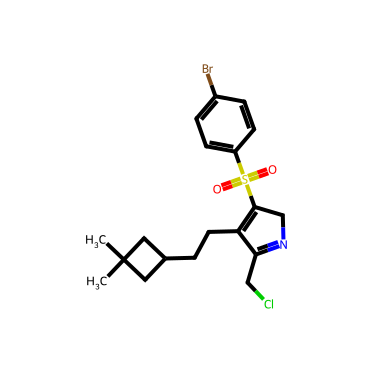 CC1(C)CC(CCC2=C(S(=O)(=O)c3ccc(Br)cc3)CN=C2CCl)C1